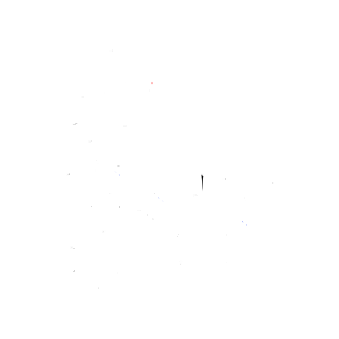 O=C1Nc2ccc(Cl)c(F)c2[C@@]2(CCCN(C(=O)[C@H](Cc3ccccc3)NC(=O)c3ccc(B(O)O)s3)C2)O1